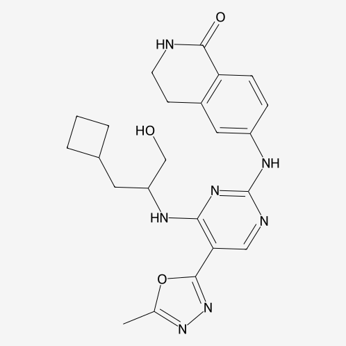 Cc1nnc(-c2cnc(Nc3ccc4c(c3)CCNC4=O)nc2NC(CO)CC2CCC2)o1